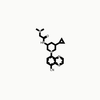 CN(C)CC(=O)NC1CC(C2CC2)CN(c2ccc(C#N)c3nccnc23)C1